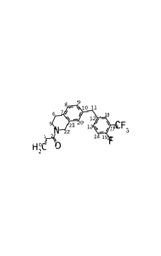 C=CC(=O)N1CCc2ccc(Cc3ccc(F)c(C(F)(F)F)c3)cc2C1